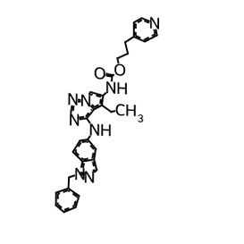 CCc1c(NC(=O)OCCCc2ccncc2)cn2ncnc(Nc3ccc4c(cnn4Cc4ccccc4)c3)c12